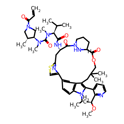 C=CC(=O)N1C[C@@H](C)[C@H](N(C)C(=O)N(C)[C@H](C(=O)N[C@H]2Cc3nc(cs3)-c3ccc4c(c3)c(c(-c3cccnc3[C@H](C)OC)n4CC)CC(C)(C)COC(=O)[C@@H]3CCCN(N3)C2=O)C(C)C)C1